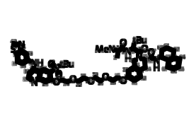 CNC(C)C(=O)NC(C(=O)N1Cc2cc(OCCOCCOCCOCCOc3cc4nccc(Nc5ccc6scnc6c5)c4cc3S(=O)(=O)C(C)(C)C)ccc2C[C@H]1C(=O)N[C@@H]1CCCc2ccccc21)C(C)(C)C